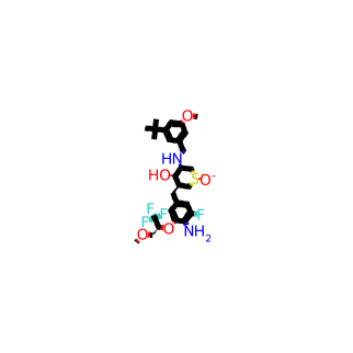 COC[C@@H](Oc1cc(C[C@@H]2C[S@@+]([O-])C[C@H](NCc3cc(OC)cc(C(C)(C)C)c3)[C@H]2O)cc(F)c1N)C(F)(F)F